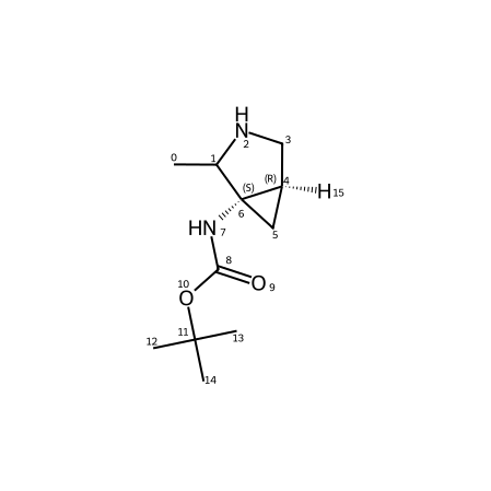 CC1NC[C@H]2C[C@@]12NC(=O)OC(C)(C)C